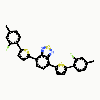 Cc1ccc(-c2ccc(-c3ccc(-c4ccc(-c5ccc(C)cc5F)s4)c4nsnc34)s2)c(F)c1